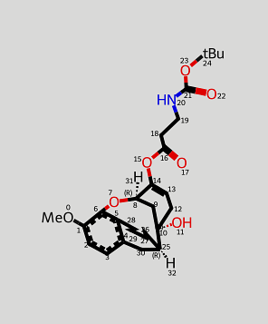 COc1ccc2c3c1O[C@@H]1C[C@@](O)(CC=C1OC(=O)CCNC(=O)OC(C)(C)C)[C@H](CCCC3)C2